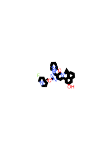 O=c1c2c(N3CC4CCC(C3)N4)nc(OC[C@@]34CCCN3C[C@H](F)C4)nc2cc(-c2cc(O)cc3ccccc23)n1C1CC1